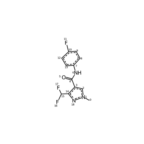 Cn1cc(C(=O)Nc2ccc(F)cc2)c(C(F)F)n1